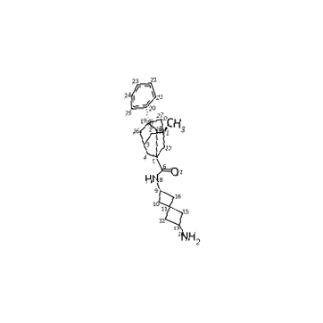 C[C@]12CC3CC(C(=O)NC4CC5(CC(N)C5)C4)(C1)C[C@@](c1ccccc1)(C3)C2